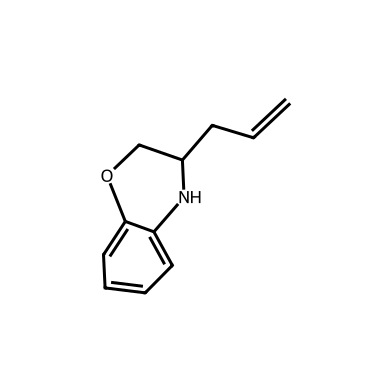 C=CCC1COc2ccccc2N1